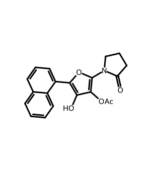 CC(=O)Oc1c(N2CCCC2=O)oc(-c2cccc3ccccc23)c1O